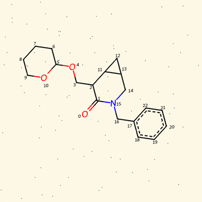 O=C1C(COC2CCCCO2)C2CC2CN1Cc1ccccc1